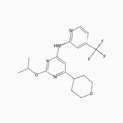 CC(C)Oc1nc(Nc2cc(C(F)(F)F)ccn2)cc(C2CCOCC2)n1